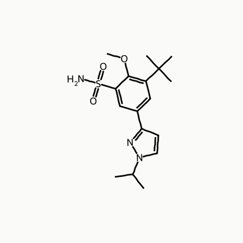 COc1c(C(C)(C)C)cc(-c2ccn(C(C)C)n2)cc1S(N)(=O)=O